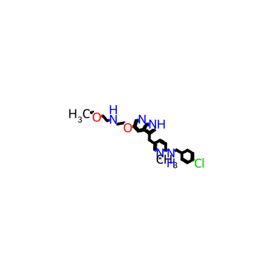 CCOCCNCCOc1cnc2[nH]cc(CC3=CN(C)C(NCC4C=CC(Cl)=CC4)C=C3)c2c1